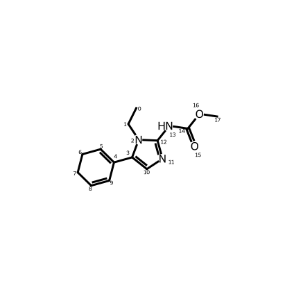 CCn1c(C2=CCCC=C2)cnc1NC(=O)OC